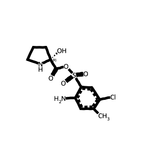 Cc1cc(N)c(S(=O)(=O)OC(=O)[C@]2(O)CCCN2)cc1Cl